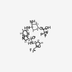 N[C@H]1CCCC[C@H]1Nc1ccn2ncc(C(=O)Nc3ccoc3C(F)(F)F)c2n1.O=C(O)C(F)(F)F